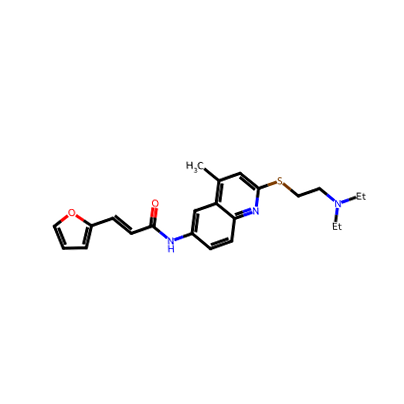 CCN(CC)CCSc1cc(C)c2cc(NC(=O)C=Cc3ccco3)ccc2n1